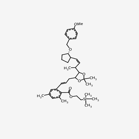 COc1ccc(CO[C@H]2CCCC2/C=C\C(C)C2OC(C)(C)OC2C/C=C/c2cc(C)cc(C)c2C(=O)OCC[Si](C)(C)C)cc1